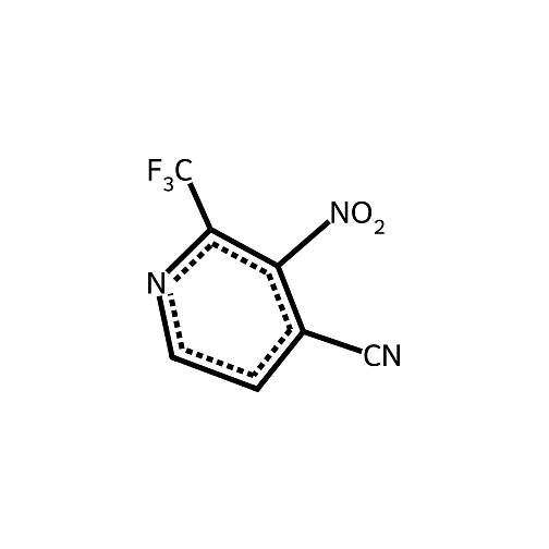 N#Cc1ccnc(C(F)(F)F)c1[N+](=O)[O-]